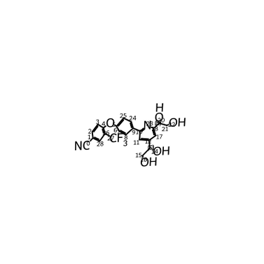 N#Cc1ccc(Oc2ccc(-c3cc([C@H](O)CO)cc([C@H](O)CO)n3)cc2)c(C(F)(F)F)c1